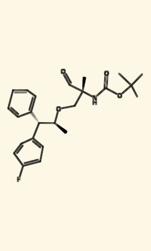 C[C@H](OC[C@](C)(C=O)NC(=O)OC(C)(C)C)[C@@H](c1ccccc1)c1ccc(F)cc1